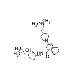 CN(C)CCC1CCN(c2cc(C(=O)NCC3CCC(CC(C)(C)C)CC3)c3ccccc3n2)CC1